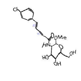 COC1OC(CO)C(O)C(O)C1NC(=O)/C=C/C=C/c1ccc(Cl)cc1